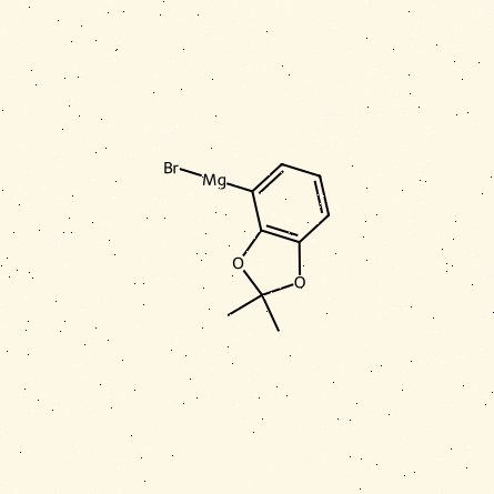 CC1(C)Oc2ccc[c]([Mg][Br])c2O1